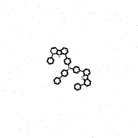 C1=Cc2c(sc3c(-c4ccc(N(c5ccc(-c6ccccc6)cc5)c5ccc(-c6cccc7c6sc6c(-c8ccccc8)cccc67)cc5)cc4)cccc23)C(c2ccccc2)C1